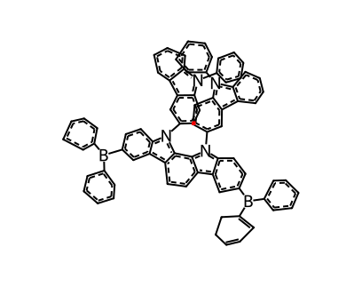 C1=CCCC(B(c2ccccc2)c2ccc3c(c2)c2ccc4c5cc(B(c6ccccc6)c6ccccc6)ccc5n(-c5ccc6c(c5)c5ccccc5n6-c5ccccc5)c4c2n3-c2ccc3c(c2)c2ccccc2n3-c2ccccc2)=C1